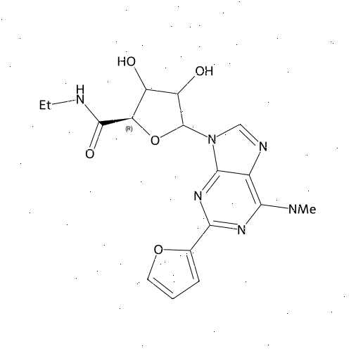 CCNC(=O)[C@@H]1OC(n2cnc3c(NC)nc(-c4ccco4)nc32)C(O)C1O